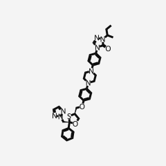 CCC(C)n1ncn(-c2ccc(N3CCN(c4ccc(OC[C@H]5CO[C@](Cn6nccn6)(c6ccccc6)S5)cc4)CC3)cc2)c1=O